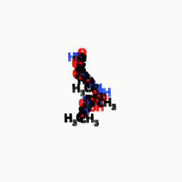 C[C@@H]1CN([C@@H]2CCN3c4cc5c(cc4OCC[C@@H]3C2)C(=O)N(C2CCC(=O)NC2=O)C5)CCN1c1ccc(Nc2cc(-c3ccnc(N4CCn5c(cc6c5CC(C)(C)C6)C4=O)c3CO)cn(C)c2=O)nc1